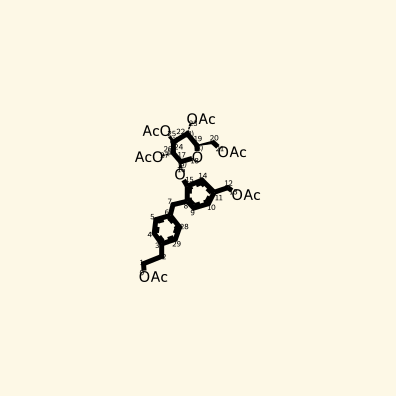 CC(=O)OCCc1ccc(Cc2ccc(COC(C)=O)cc2O[C@@H]2O[C@H](COC(C)=O)[C@@H](OC(C)=O)[C@H](OC(C)=O)[C@H]2OC(C)=O)cc1